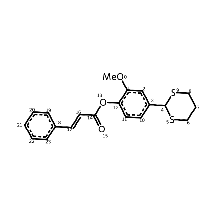 COc1cc(C2SCCCS2)ccc1OC(=O)/C=C/c1ccccc1